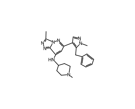 Cc1nnc2c(NC3CCN(C)CC3)cc(-c3cnn(C)c3Cc3ccccc3)nn12